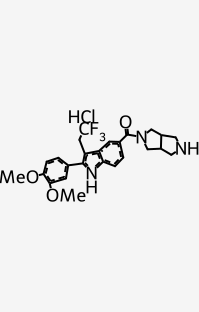 COc1ccc(-c2[nH]c3ccc(C(=O)N4CC5CNCC5C4)cc3c2CC(F)(F)F)cc1OC.Cl